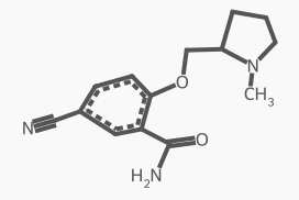 CN1CCCC1COc1ccc(C#N)cc1C(N)=O